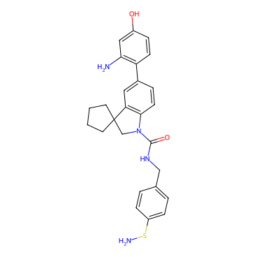 NSc1ccc(CNC(=O)N2CC3(CCCC3)c3cc(-c4ccc(O)cc4N)ccc32)cc1